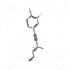 C=C/C=C(\C)C#Cc1ccc(I)c(F)c1